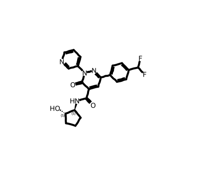 O=C(N[C@H]1CCC[C@@H]1O)c1cc(-c2ccc(C(F)F)cc2)nn(-c2cccnc2)c1=O